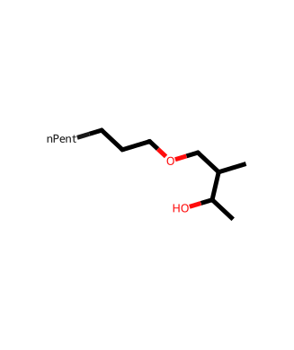 CCCCCCCCOCC(C)C(C)O